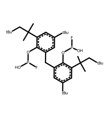 CC(C)(C)CC(C)(C)c1cc(C(C)(C)C)cc(Cc2cc(C(C)(C)C)cc(C(C)(C)CC(C)(C)C)c2OP(O)F)c1OP(O)F